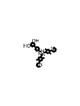 Cc1cc(-c2nc(-c3ccc(-c4cc(O)cc(O)c4)cc3)nc(-c3cc(C)c(-c4ccccn4)cc3C)n2)c(C)cc1-c1ccccn1